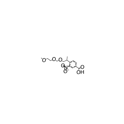 COCCOCOCC(C)c1ccc(C(=O)O)cc1[N+](=O)[O-]